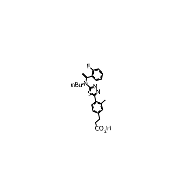 C=C(c1ccccc1F)N(CCCC)c1nnc(-c2ccc(CCC(=O)O)cc2C)s1